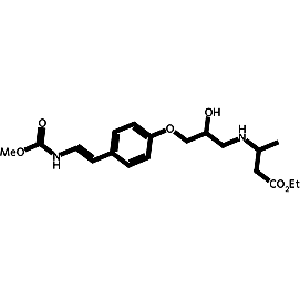 CCOC(=O)CC(C)NCC(O)COc1ccc(C=CNC(=O)OC)cc1